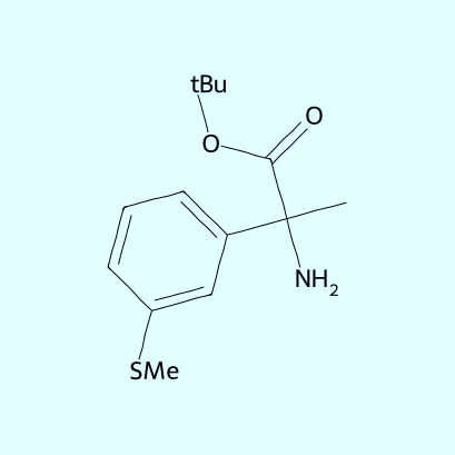 CSc1cccc(C(C)(N)C(=O)OC(C)(C)C)c1